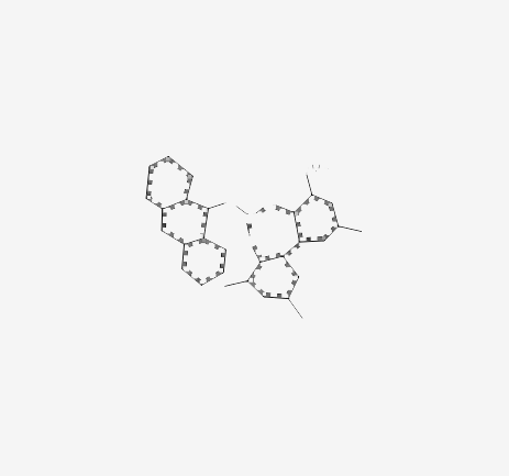 COc1cc(C)cc2c1op(Oc1c3ccccc3cc3ccccc13)oc1c(C)cc(C)cc12